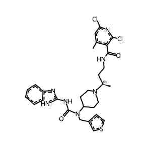 Cc1cc(Cl)nc(Cl)c1C(=O)NCC[C@@H](C)N1CCC(N(Cc2ccsc2)C(=O)Nc2nc3ccccc3[nH]2)CC1